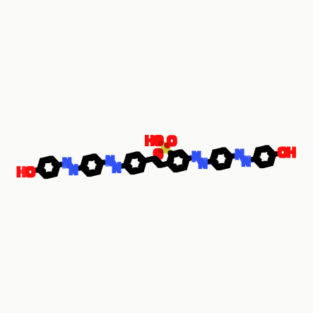 O=S(=O)(O)c1cc(N=Nc2ccc(N=Nc3ccc(O)cc3)cc2)ccc1C=Cc1ccc(N=Nc2ccc(N=Nc3ccc(O)cc3)cc2)cc1